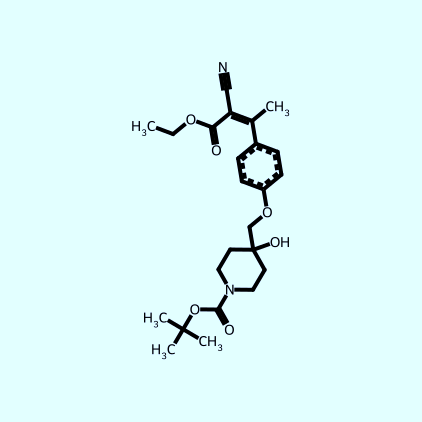 CCOC(=O)/C(C#N)=C(/C)c1ccc(OCC2(O)CCN(C(=O)OC(C)(C)C)CC2)cc1